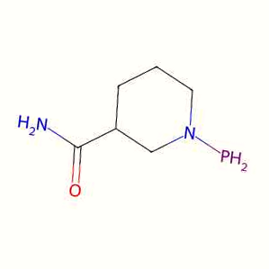 NC(=O)C1CCCN(P)C1